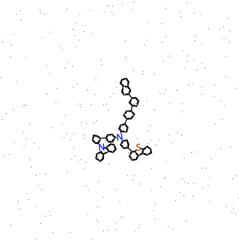 c1cc(-c2ccc(-c3ccc(N(c4ccc(-c5ccccc5-n5c6ccccc6c6ccccc65)cc4)c4ccc(-c5cccc6c5sc5ccccc56)cc4)cc3)cc2)cc(-c2ccc3ccccc3c2)c1